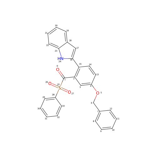 O=C(c1cc(OCc2ccccc2)ccc1-c1cc2ccccc2[nH]1)S(=O)(=O)c1ccccc1